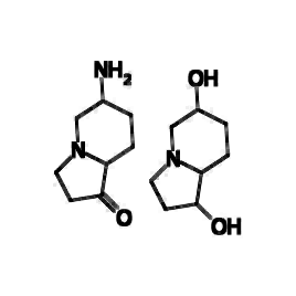 NC1CCC2C(=O)CCN2C1.OC1CCC2C(O)CCN2C1